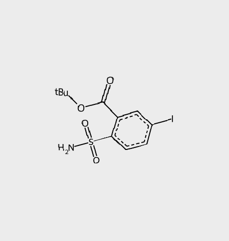 CC(C)(C)OC(=O)c1cc(I)ccc1S(N)(=O)=O